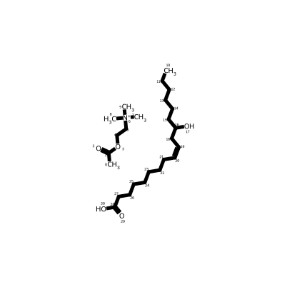 CC(=O)OCC[N+](C)(C)C.CCCCCCC(O)C/C=C\CCCCCCCC(=O)O